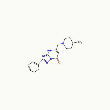 CC1CCN(Cc2cc(=O)n3nc(C4=CC=CCC4)nc3[nH]2)CC1